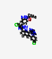 COC(=O)Nc1ccc(-c2[nH]c(C3CCc4cc(-c5cc(Cl)ccc5-n5cnnn5)cnc43)nc2Cl)cc1